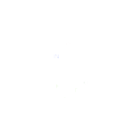 CC(C)C(=O)Nc1ccc(Cl)c(C(F)(F)F)c1